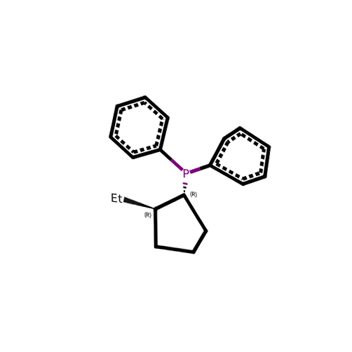 CC[C@@H]1CCC[C@H]1P(c1ccccc1)c1ccccc1